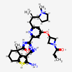 C=CC(=O)N1CC(Oc2cc(C[C@@H](C)[C@@H]3CCCN3C)nc(-c3noc([C@@]4(C)CCCc5sc(N)c(C#N)c54)n3)c2)C1